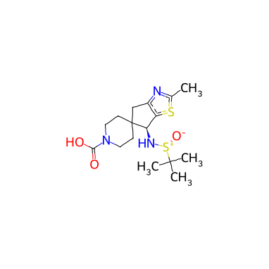 Cc1nc2c(s1)[C@@H](N[S@+]([O-])C(C)(C)C)C1(CCN(C(=O)O)CC1)C2